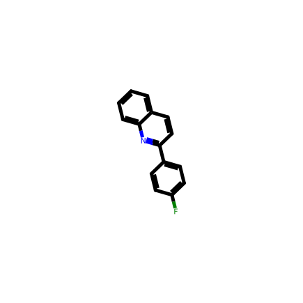 Fc1ccc(-c2ccc3c[c]ccc3n2)cc1